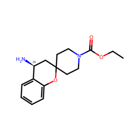 CCOC(=O)N1CCC2(CC1)C[C@H](N)c1ccccc1O2